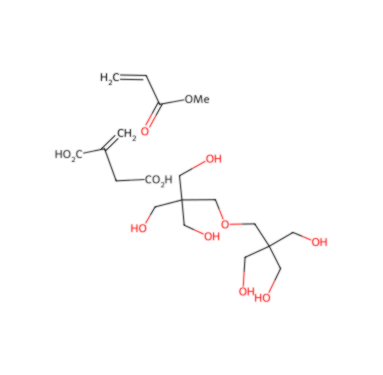 C=C(CC(=O)O)C(=O)O.C=CC(=O)OC.OCC(CO)(CO)COCC(CO)(CO)CO